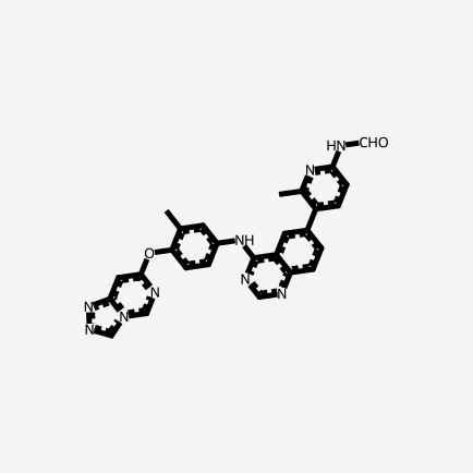 Cc1cc(Nc2ncnc3ccc(-c4ccc(NC=O)nc4C)cc23)ccc1Oc1cc2nncn2cn1